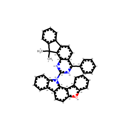 CC1(C)c2ccccc2-c2ccc3c(-c4ccccc4)nc(-n4c5ccccc5c5ccc6oc7ccccc7c6c54)nc3c21